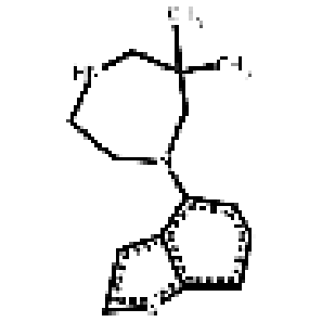 CC1(C)CNCCN(c2cccc3sccc23)C1